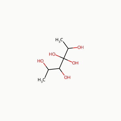 CC(O)C(O)C(O)(O)C(C)O